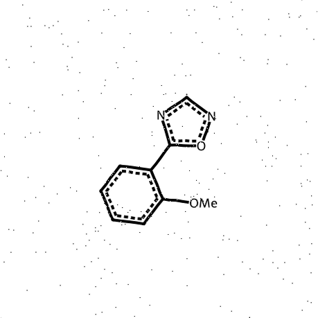 COc1ccccc1-c1n[c]no1